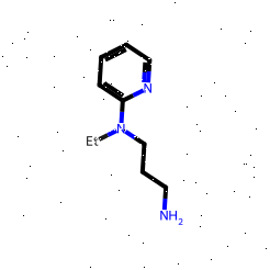 CCN(CCCN)c1ccccn1